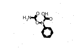 NC(=O)ON(C(=O)O)c1ccccc1